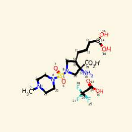 CN1CCN(S(=O)(=O)N2C[C@@H](CCCB(O)O)[C@@](N)(C(=O)O)C2)CC1.O=C(O)C(F)(F)F